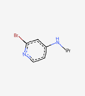 CC(C)Nc1ccnc(Br)c1